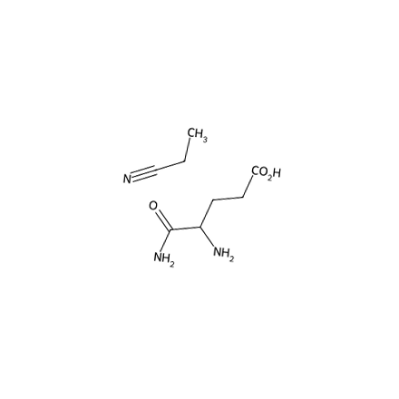 CCC#N.NC(=O)C(N)CCC(=O)O